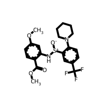 COC(=O)c1ccc(OC)cc1N[S+]([O-])c1cc(C(F)(F)F)ccc1N1CCCCC1